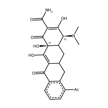 CC(=O)c1cccc2c1CC1CC3[C@H](N(C)C)C(O)=C(C(N)=O)C(=O)[C@@]3(O)C(O)=C1C2=O